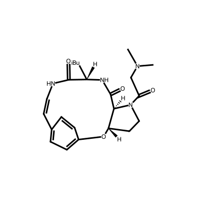 CCC(C)[C@@H]1NC(=O)[C@@H]2[C@H](CCN2C(=O)CN(C)C)Oc2ccc(cc2)/C=C\NC1=O